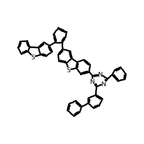 c1ccc(-c2cccc(-c3nc(-c4ccccc4)nc(-c4ccc5c(c4)sc4ccc(-c6ccccc6-c6ccc7sc8ccccc8c7c6)cc45)n3)c2)cc1